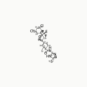 CSc1nnc(NC(=O)c2ccc(C3=NOC(c4cc(Cl)cc(Cl)c4)(C(F)(F)F)C3)cc2C)[nH]1